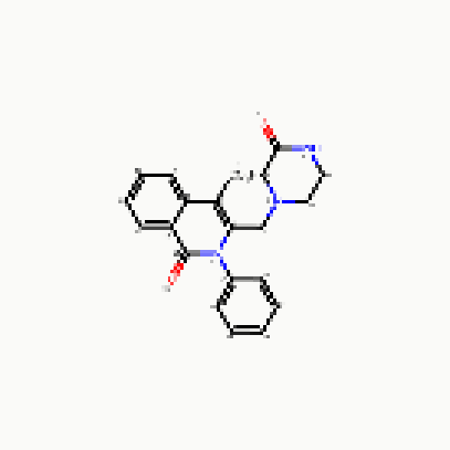 O=C1CN(Cc2c(C(=O)O)c3ccccc3c(=O)n2-c2ccccc2)CCN1